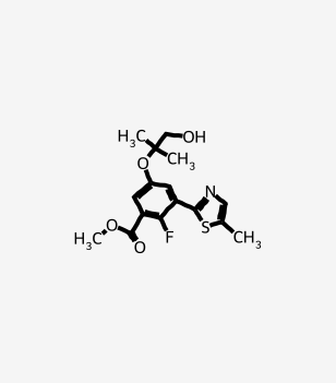 COC(=O)c1cc(OC(C)(C)CO)cc(-c2ncc(C)s2)c1F